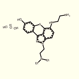 CCN(CC)CCn1nc2c3c(c(NCCN)ccc31)Sc1cc(O)ccc1-2.Cl.Cl.Cl